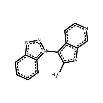 Cc1sc2cnccc2c1-n1nnc2ccccc21